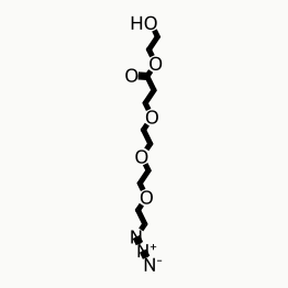 [N-]=[N+]=NCCOCCOCCOCCC(=O)OCCO